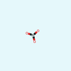 [O]=[Pr](=[O])=[O]